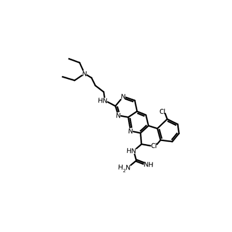 CCN(CC)CCCNc1ncc2cc(-c3c(Cl)cccc3Cl)c(C(C)NC(=N)N)nc2n1